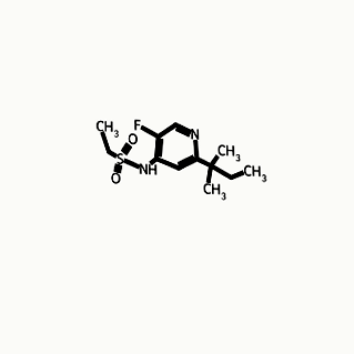 CCC(C)(C)c1cc(NS(=O)(=O)CC)c(F)cn1